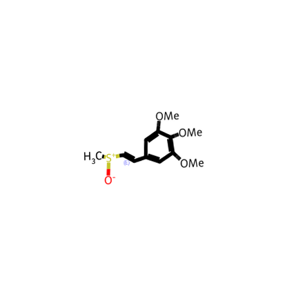 COc1cc(/C=C/[S+](C)[O-])cc(OC)c1OC